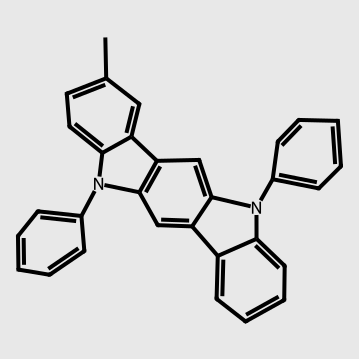 Cc1ccc2c(c1)c1cc3c(cc1n2-c1ccccc1)c1ccccc1n3-c1ccccc1